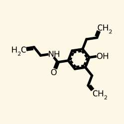 C=CCNC(=O)c1cc(CC=C)c(O)c(CC=C)c1